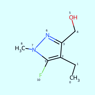 CCc1c(CO)nn(C)c1F